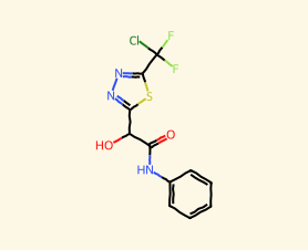 O=C(Nc1ccccc1)C(O)c1nnc(C(F)(F)Cl)s1